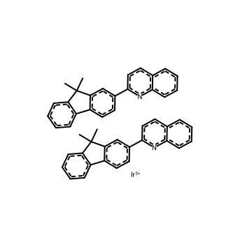 CC1(C)c2ccccc2-c2ccc(-c3ccc4ccccc4n3)cc21.CC1(C)c2ccccc2-c2ccc(-c3ccc4ccccc4n3)cc21.[Ir+3]